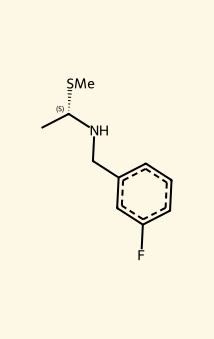 CS[C@@H](C)NCc1cccc(F)c1